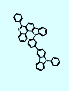 c1ccc(-c2nc3ccccc3c3c2ccc2c4ccccc4n(-c4cccc(-c5ccc6c(c5)c5ccccc5n6-c5ccccc5)c4)c23)cc1